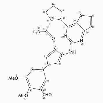 COc1cc(-n2cnc(Nc3nc(N4CCC[C@H]4C(N)=O)c4sccc4n3)c2)cc(C=O)c1OC